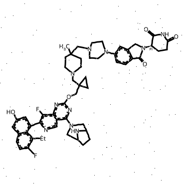 CCc1c(F)ccc2cc(O)cc(-c3ncc4c(N5CC6CCC(C5)N6)nc(OCC5(CN6CCC(C)(CN7CCN(c8ccc9c(c8)CN([C@@H]8CCC(=O)NC8=O)C9=O)CC7)CC6)CC5)nc4c3F)c12